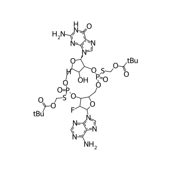 CC(C)(C)C(=O)OCSP1(=O)OC[C@H]2O[C@@H](n3cnc4c(=O)[nH]c(N)nc43)C(OP(=O)(SCOC(=O)C(C)(C)C)OCC3OC(n4cnc5c(N)ncnc54)C(F)C3O1)C2O